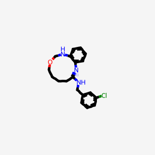 Clc1cccc(CN/C2=N/c3ccccc3NCOCCCC2)c1